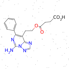 Nc1nc(-c2ccccc2)c(CCOC(=O)CCC(=O)O)c2ncnn12